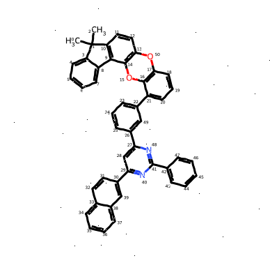 CC1(C)c2ccccc2-c2c1ccc1c2Oc2c(cccc2-c2cccc(-c3cc(-c4ccc5ccccc5c4)nc(-c4ccccc4)n3)c2)O1